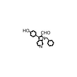 O=Cc1c(-c2ccc(O)cc2)c2ccncc2n1Cc1ccccc1